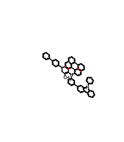 CC1=C(N(c2cccc(-c3ccc4c5ccccc5n(-c5ccccc5)c4c3)c2)c2ccccc2-c2cccc3cccc(-c4ccccc4)c23)C=CC(c2ccc(-c3ccccc3)cc2)C1